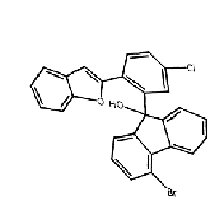 OC1(c2cc(Cl)ccc2-c2cc3ccccc3o2)c2ccccc2-c2c(Br)cccc21